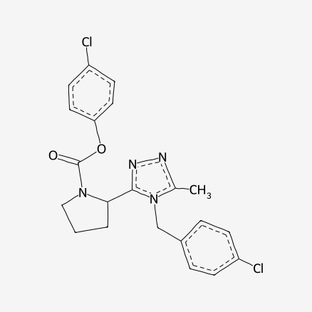 Cc1nnc(C2CCCN2C(=O)Oc2ccc(Cl)cc2)n1Cc1ccc(Cl)cc1